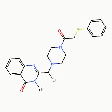 CCCn1c(C(C)N2CCN(C(=O)CSc3ccccc3)CC2)nc2ccccc2c1=O